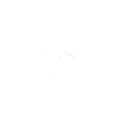 COC(=O)c1cc(NN)cc(OC)c1